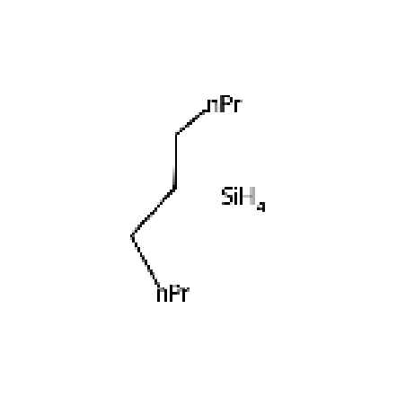 CCCCCCCCC.[SiH4]